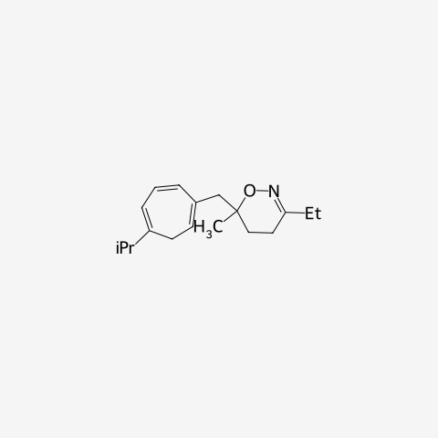 CCC1=NOC(C)(CC2=CCC(C(C)C)=CC=C2)CC1